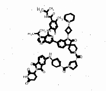 Cc1cc(F)c(Nc2nc(-c3ccc4c(c3)N([C@H]3C[C@@H](N5CCCCC5)C3)C(=O)C43CCN(C(=O)[C@@H]4CCN(C(=O)[C@H]5CC[C@H](Nc6ccc7c(c6)C(=O)N(C6CCC(=O)NC6=O)C7=O)CC5)C4)CC3)cc3ncn(C(C)C)c23)cc1C(=O)NC(C)C